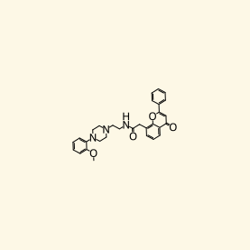 COc1ccccc1N1CCN(CCNC(=O)Cc2cccc3c(=O)cc(-c4ccccc4)oc23)CC1